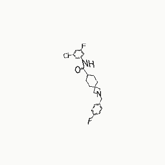 O=C(Nc1cc(F)cc(Cl)c1)C1CCC2(CC1)CN(Cc1ccc(F)cc1)C2